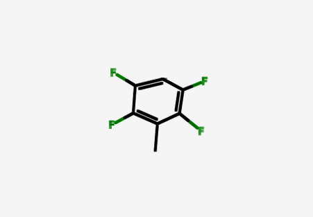 Cc1c(F)c(F)[c]c(F)c1F